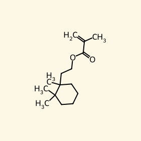 C=C(C)C(=O)OCCC1(C)CCCCC1(C)C